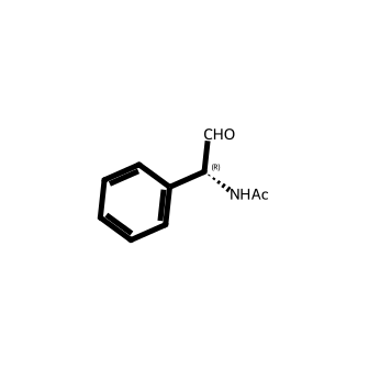 CC(=O)N[C@@H](C=O)c1ccccc1